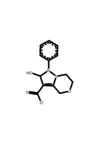 O=C(Cl)C1=C2COCCN2N(c2ccccc2)C1O